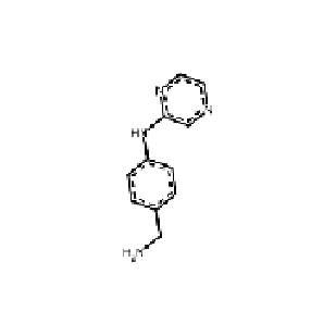 NCc1ccc(Nc2cnccn2)cc1